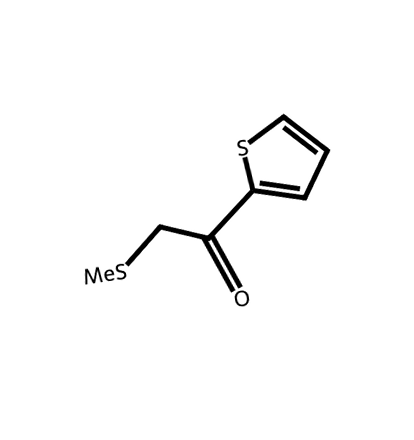 CSCC(=O)c1cccs1